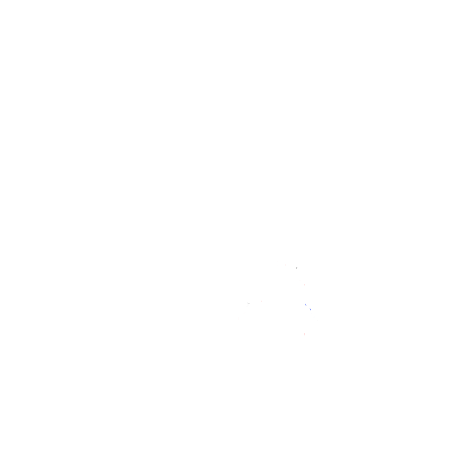 CCCCCCCCCCCC(=O)OCC1(COC(=O)CCCCCCCCCCC)COC(C)=N1